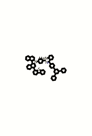 CNc1ccccc1/C(=N\Cc1ccc(-n2c3ccc4ccccc4c3c3c4ccccc4c(-c4cccc5c4sc4ccccc45)cc32)cc1)c1ccc(-c2cc(-c3ccccc3)cc(-c3ccccc3)c2)cc1